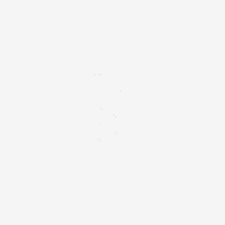 Cc1nc(Nc2ncc3c(n2)CC(c2ccco2)CC3=O)nc2ccccc12